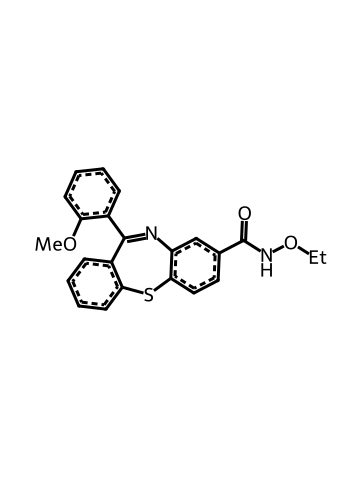 CCONC(=O)c1ccc2c(c1)N=C(c1ccccc1OC)c1ccccc1S2